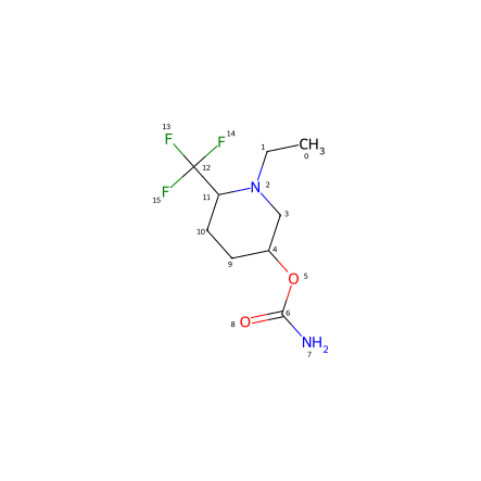 CCN1CC(OC(N)=O)CCC1C(F)(F)F